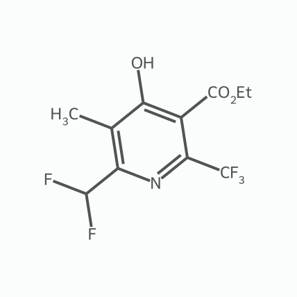 CCOC(=O)c1c(C(F)(F)F)nc(C(F)F)c(C)c1O